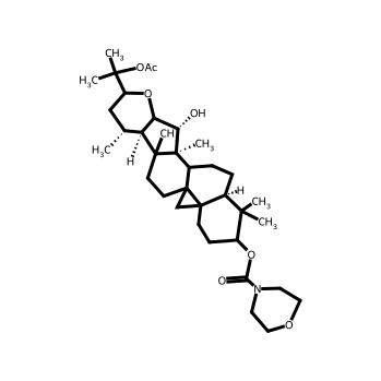 CC(=O)OC(C)(C)C1C[C@@H](C)[C@H]2C(O1)[C@H](O)[C@@]1(C)C3CC[C@H]4C(C)(C)C(OC(=O)N5CCOCC5)CCC45CC35CCC21C